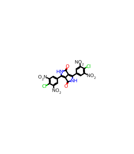 O=C1NC(c2cc([N+](=O)[O-])c(Cl)c([N+](=O)[O-])c2)=C2C(=O)NC(c3cc([N+](=O)[O-])c(Cl)c([N+](=O)[O-])c3)=C12